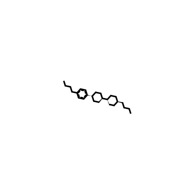 CCCCc1ccc([C@H]2CC[C@H]([C@H]3CC[C@H](CCCC)CC3)CC2)cc1